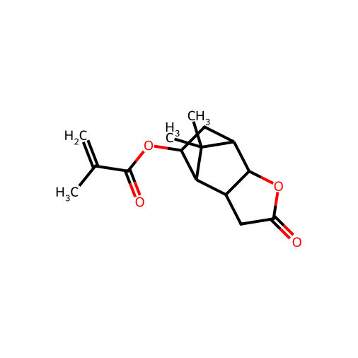 C=C(C)C(=O)OC1CC2C3OC(=O)CC3C1C2(C)C